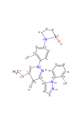 COc1cn(-c2ccc(N3CCCC3=O)cc2F)nc(-c2ccnn2-c2ccccc2F)c1=O